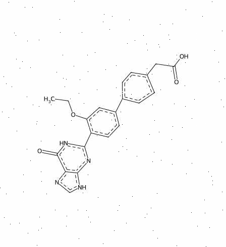 CCOc1cc(-c2ccc(CC(=O)O)cc2)ccc1-c1nc2[nH]cnc2c(=O)[nH]1